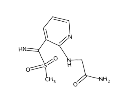 CS(=O)(=O)C(=N)c1cccnc1NCC(N)=O